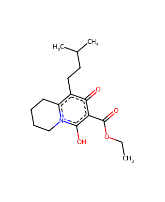 CCOC(=O)c1c(O)n2c(c(CCC(C)C)c1=O)CCCC2